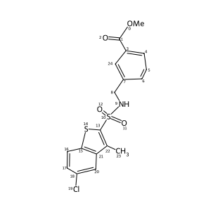 COC(=O)c1cccc(CNS(=O)(=O)c2sc3ccc(Cl)cc3c2C)c1